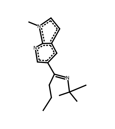 CCCC(=NC(C)(C)C)c1cnc2c(ccn2C)c1